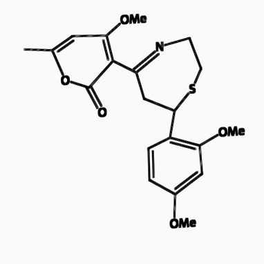 COc1ccc(C2CC(c3c(OC)cc(C)oc3=O)=NCCS2)c(OC)c1